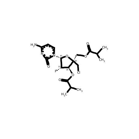 CC(C)C(=O)OC[C@@]1(CCl)O[C@@H](n2ccc(N)nc2=O)[C@@H](F)[C@@H]1OC(=O)C(C)C